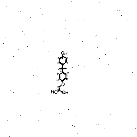 CC(C)(c1ccc(O)cc1)c1ccc(OCC(O)O)cc1